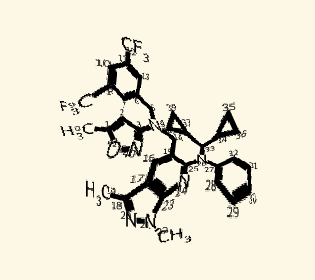 Cc1cc(N(Cc2cc(C(F)(F)F)cc(C(F)(F)F)c2)Cc2cc3c(C)nn(C)c3nc2N(c2ccccc2)C(C2CC2)C2CC2)no1